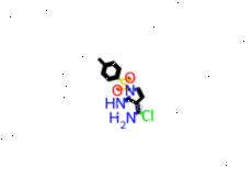 Cc1ccc(S(=O)(=O)N2C=C/C(=C(/N)Cl)C2=N)cc1